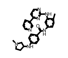 Cc1ccc(NC(=O)c2ccc(NC3CCN(C)C3)cc2)cc1Nc1nccc(-c2cccnc2)n1